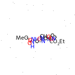 CCOC(=O)CN(c1ccc2c(c1)nc(Cc1ccc(C(=N)NC(=O)OCCOC)cc1)c(=O)n2C)S(=O)(=O)c1cccc2cccnc12